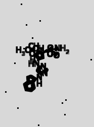 CC1(C)O[C@@H]2[C@@H](COS(N)(=O)=O)C[C@@H](Nc3cc(N[C@H]4CCc5ccccc54)ncn3)[C@@H]2O1